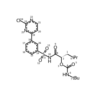 CC(C)C[C@H](OC(=O)NC(C)(C)C)C(=O)NS(=O)(=O)c1cccc(-c2ccnc(Cl)n2)c1